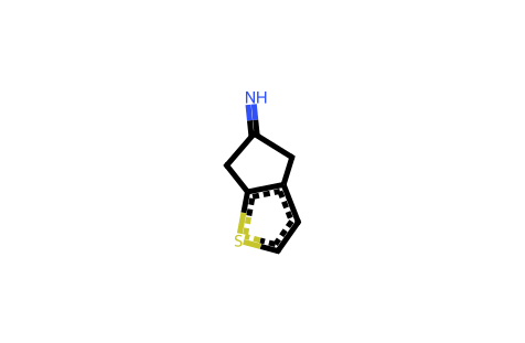 N=C1Cc2ccsc2C1